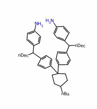 CCCCCCCCCCC(c1ccc(N)cc1)c1ccc(C2(c3ccc(C(CCCCCCCCCC)c4ccc(N)cc4)cc3)CCC(CCCC)CC2)cc1